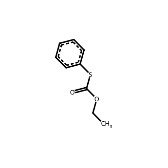 CCOC(=O)Sc1[c]cccc1